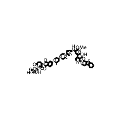 COc1ncc(-c2ccnc(N3CCc4c(sc5c4CCCC5)C3=O)c2CO)cc1Nc1ccc(N2CCN(C3CCN(c4ccc5c(c4)C(=O)N([C@H]4CCC(=O)N(C(C)OP(=O)(O)O)C4=O)C5=O)[C@H](C)C3)C[C@@H]2C)cn1